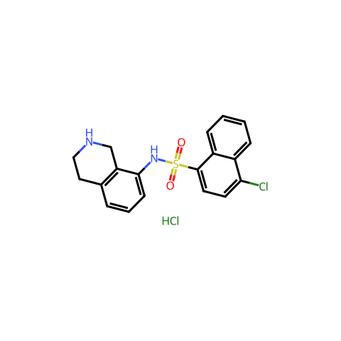 Cl.O=S(=O)(Nc1cccc2c1CNCC2)c1ccc(Cl)c2ccccc12